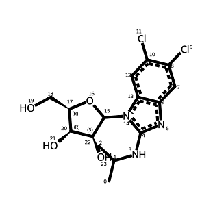 CC(C)Nc1nc2cc(Cl)c(Cl)cc2n1C1O[C@H](CO)[C@H](O)[C@@H]1O